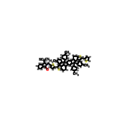 Cc1ccc(C2(c3ccc(C)cc3)c3cc4c(cc3-c3ccc5sc(-c6cccs6)cc5c32)C(c2ccc(C)cc2)(c2ccc(C)cc2)c2c-4ccc3sc(-c4ccc(/C=C5\C(=O)c6ccccc6C5=C(C#N)C#N)s4)cc23)cc1